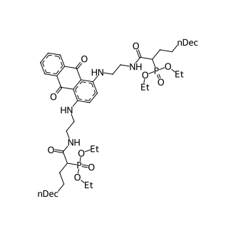 CCCCCCCCCCCCC(C(=O)NCCNc1ccc(NCCNC(=O)C(CCCCCCCCCCCC)P(=O)(OCC)OCC)c2c1C(=O)c1ccccc1C2=O)P(=O)(OCC)OCC